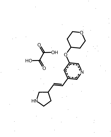 C(=CC1CCNC1)c1cncc(OC2CCOCC2)c1.O=C(O)C(=O)O